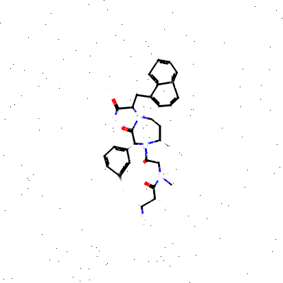 C[C@@H]1CCN(C(Cc2cccc3ccccc23)C(N)=O)C(=O)[C@H](c2cccc(Cl)c2)N1C(=O)CN(C)C(=O)CCN